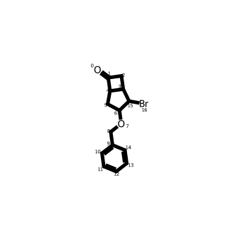 O=C1CC2C1CC(OCc1ccccc1)C2Br